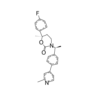 Cc1cc(-c2ccc([C@H](C)N3CC[C@](C)(c4ccc(F)cc4)OC3=O)cc2)ccn1